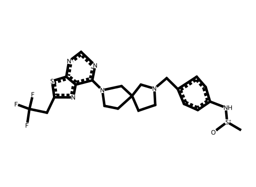 C[S+]([O-])Nc1ccc(CN2CCC3(CCN(c4ncnc5sc(CC(F)(F)F)nc45)C3)C2)cc1